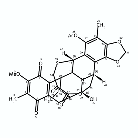 COC1=C(C)C(=O)C2=C(C1=O)C1C3[C@@H]4SCC(=O)C(=O)OC[C@@H](c5c6c(c(C)c(OC(C)=O)c54)OCO6)N3[C@@H](O)C(C2)N1C